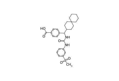 CS(=O)(=O)c1cccc(NC(=O)NC(c2ccc(C(=O)O)cc2)C2CCC3(CCCCC3)CC2)c1